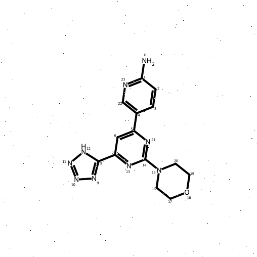 Nc1ccc(-c2cc(-c3nnn[nH]3)nc(N3CCOCC3)n2)cn1